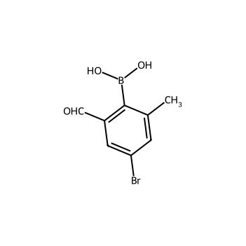 Cc1cc(Br)cc(C=O)c1B(O)O